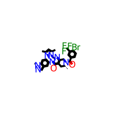 Cc1cc(C)n(-c2nc3c(c(=O)n2-c2ccc4c(cnn4C)c2)C[C@@H](C)N(C(=O)c2ccc(Br)c(C(F)(F)F)c2)C3)n1